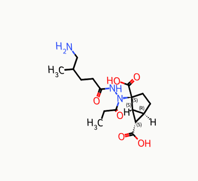 CCC(=O)N(NC(=O)CCC(C)CN)[C@@]1(C(=O)O)CC[C@H]2[C@H](C(=O)O)[C@H]21